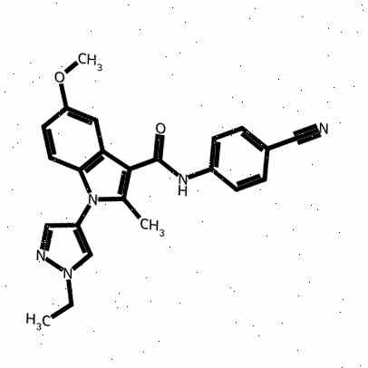 CCn1cc(-n2c(C)c(C(=O)Nc3ccc(C#N)cc3)c3cc(OC)ccc32)cn1